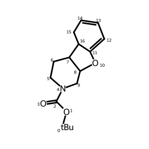 CC(C)(C)OC(=O)N1CCC2C(C1)OC1=CC=CCC12